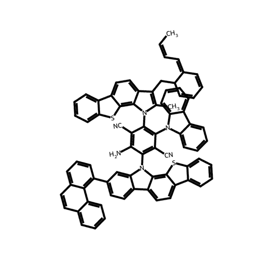 C/C=C\C=C1\C=CC=CC1Cc1c(C)n(-c2c(C#N)c(N)c(-n3c4cc(-c5cccc6ccc7ccccc7c56)ccc4c4ccc5c6ccccc6sc5c43)c(C#N)c2-n2c3ccccc3c3ccccc32)c2c1ccc1c3ccccc3sc12